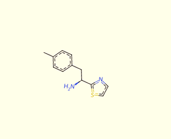 Cc1ccc(C[C@H](N)c2nccs2)cc1